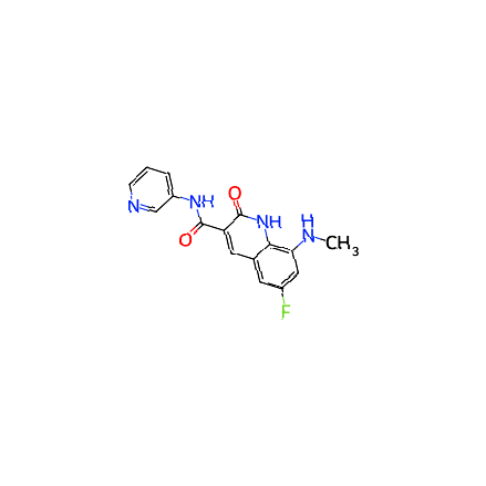 CNc1cc(F)cc2cc(C(=O)Nc3cccnc3)c(=O)[nH]c12